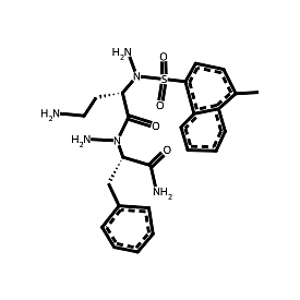 Cc1ccc(S(=O)(=O)N(N)[C@@H](CCN)C(=O)N(N)[C@@H](Cc2ccccc2)C(N)=O)c2ccccc12